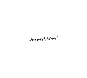 CCC[CH]CCCCCCC=CCCCCCC